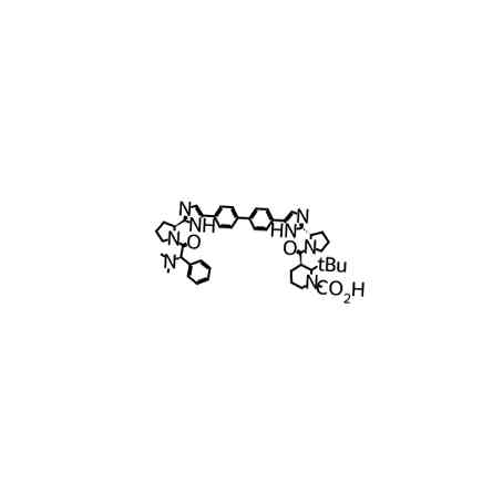 CN(C)[C@@H](C(=O)N1CCC[C@H]1c1ncc(-c2ccc(-c3ccc(-c4cnc([C@@H]5CCCN5C(=O)[C@@H]5CCCN(C(=O)O)C5C(C)(C)C)[nH]4)cc3)cc2)[nH]1)c1ccccc1